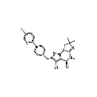 CCc1c2c(nn1Cc1ccc(-c3ccc(F)cn3)cc1)N1CC(C)(C)N=C1N(C)C2=O